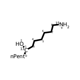 [13CH3][13CH2][13CH2][13CH2][13CH2][13CH](O)CCCCCC[15NH2]